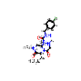 CCCCN1C[C@H]2N(C(=O)CN(C)N2C(=O)NCc2ccc(F)cc2)[C@@H](CC(=O)O)C1=O